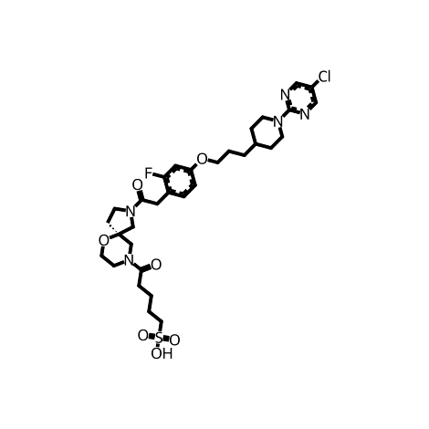 O=C(CCCCS(=O)(=O)O)N1CCO[C@]2(CCN(C(=O)Cc3ccc(OCCCC4CCN(c5ncc(Cl)cn5)CC4)cc3F)C2)C1